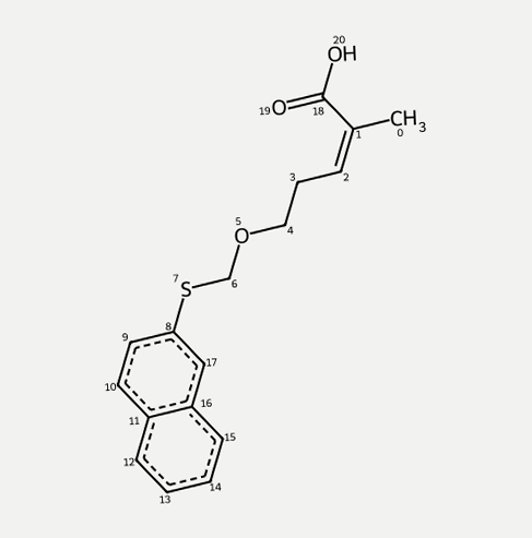 CC(=CCCOCSc1ccc2ccccc2c1)C(=O)O